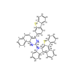 c1ccc2c(c1)ccc1c(-c3ccc4c(c3)sc3ccccc34)nc(-n3c4ccccc4c4c5ccccc5c5c6ccccc6sc5c43)nc12